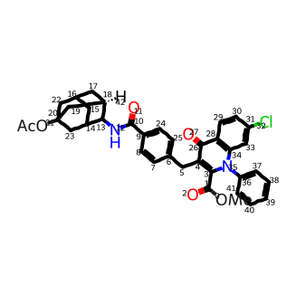 COC(=O)c1c(Cc2ccc(C(=O)NC3C4CC5C[C@@H]3CC(OC(C)=O)(C5)C4)cc2)c(=O)c2ccc(Cl)cc2n1-c1ccccc1